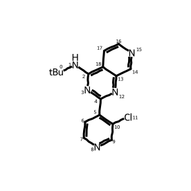 CC(C)(C)Nc1nc(-c2ccncc2Cl)nc2cnccc12